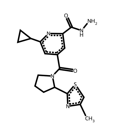 Cc1csc(C2CCCN2C(=O)c2cc(C(=O)NN)nc(C3CC3)c2)n1